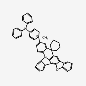 C[C@]1(c2ccc3c(c2)C2(CCCCC2)c2cc4c5ccccc5oc4c4c5ccccc5n-3c24)C=CC(N(c2ccccc2)c2ccccc2)=CC1